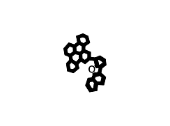 c1ccc2c(c1)ccc1c3cccc(C4CC5C6CCCCC6C6CCCC7C8CCCCC8C(C4)C5C67)c3oc21